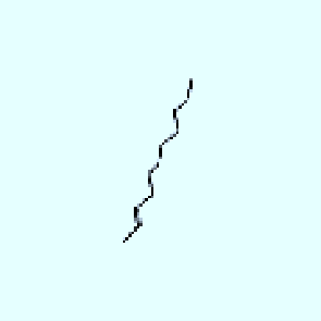 [CH2]CCCCCCCC=CC